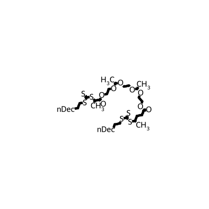 CCCCCCCCCCCCSC(=S)SC(C)CCC(=O)OCCOC(C)OCCOC(C)OCCOC(=O)C(C)SC(=S)SCCCCCCCCCCCC